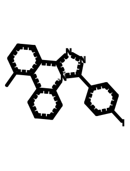 Cc1cccc2c1c1ccccc1n1c(-c3ccc(I)cc3)nnc21